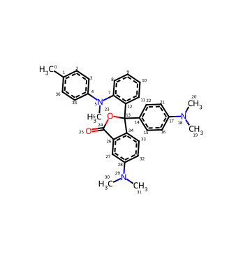 Cc1ccc(N(C)c2ccccc2C2(c3ccc(N(C)C)cc3)OC(=O)c3cc(N(C)C)ccc32)cc1